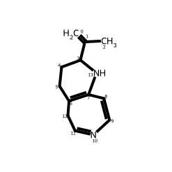 C=C(C)C1CCC2=C(C=CN=CC2)N1